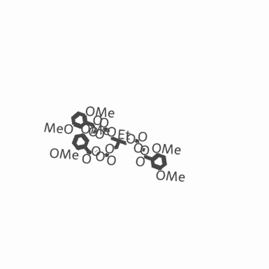 CCC(COC(=O)OOC(=O)c1cc(OC)ccc1OC)(COC(=O)OOC(=O)c1cc(OC)ccc1OC)COC(=O)OOC(=O)c1cc(OC)ccc1OC